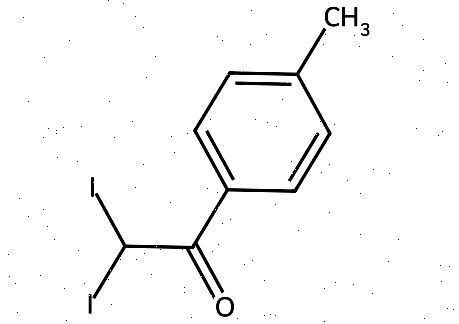 Cc1ccc(C(=O)C(I)I)cc1